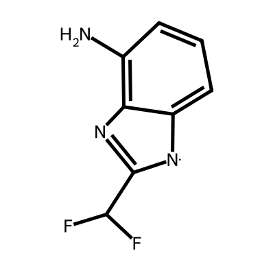 Nc1cccc2c1N=C(C(F)F)[N]2